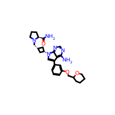 NC(=O)[C@@H]1CCCN1C[C@H]1C[C@@H](n2cc(-c3cccc(OCC4CCCCO4)c3)c3c(N)ncnc32)C1